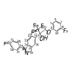 OC(COc1cccc(F)c1)(c1ccc2c(cnn2-c2ccc(F)cc2)c1)C(F)(F)F